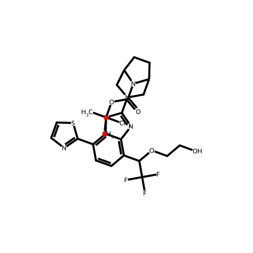 CC(C)(C)OC(=O)N1C2CCC1CN(c1nc3c(C(OCCO)C(F)(F)F)ccc(-c4nccs4)c3o1)C2